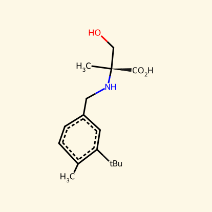 Cc1ccc(CN[C@](C)(CO)C(=O)O)cc1C(C)(C)C